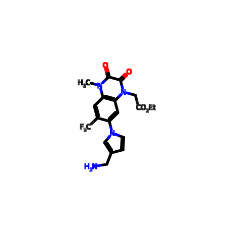 CCOC(=O)Cn1c(=O)c(=O)n(C)c2cc(C(F)(F)F)c(-n3ccc(CN)c3)cc21